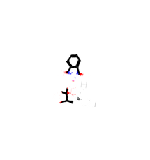 CC(C)(C)[Si]1(C)CC2COCC2(CON2C(=O)c3ccccc3C2=O)O1